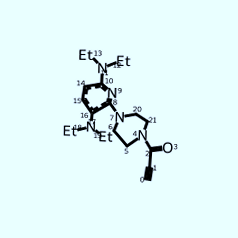 C#CC(=O)N1CCN(c2nc(N(CC)CC)ccc2N(CC)CC)CC1